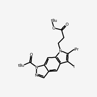 CC(C)c1c(I)c2cc3cnn(C(=O)C(C)(C)C)c3cc2n1CCC(=O)OC(C)(C)C